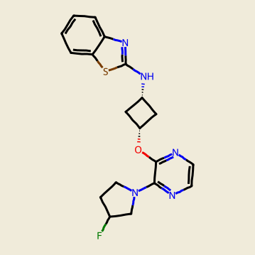 FC1CCN(c2nccnc2O[C@H]2C[C@@H](Nc3nc4ccccc4s3)C2)C1